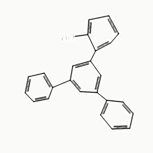 Oc1ccccc1-c1cc(-c2ccccc2)cc(-c2ccccc2)c1